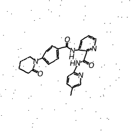 Cc1ccc(NC(=O)c2ncccc2NC(=O)c2ccc(N3CCCCC3=O)cc2)nc1